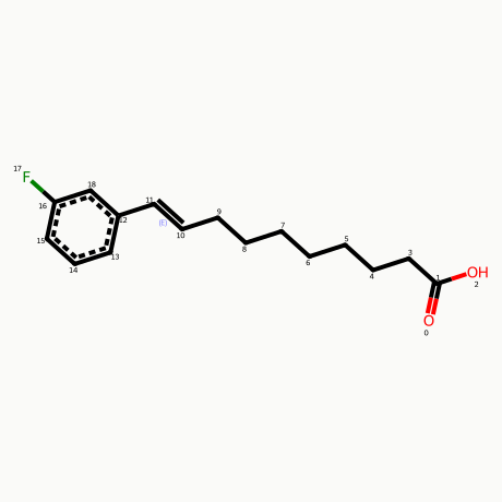 O=C(O)CCCCCCC/C=C/c1cccc(F)c1